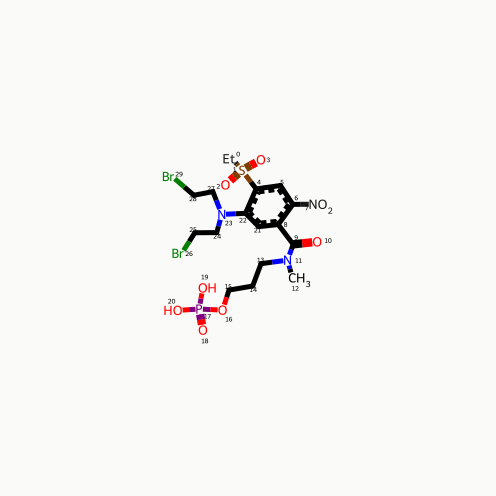 CCS(=O)(=O)c1cc([N+](=O)[O-])c(C(=O)N(C)CCCOP(=O)(O)O)cc1N(CCBr)CCBr